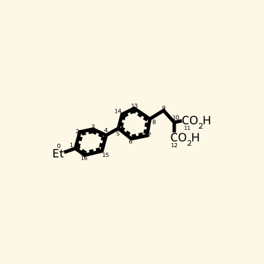 CCc1ccc(-c2ccc(CC(C(=O)O)C(=O)O)cc2)cc1